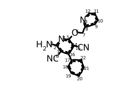 N#Cc1c(N)nc(OCc2ccccn2)c(C#N)c1-c1ccccc1